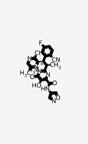 Cc1cnc(C)c([C@@H](c2cc(F)ccc2C#N)[C@@H](C)c2nc(C(=O)Nc3cnoc3)c(O)c(=O)n2C)n1